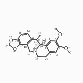 COc1cc2c(cc1OC)[C@@H]1[C@H](C)c3ccc4c(c3CN1CC2)OCO4